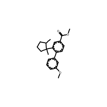 COC(=O)c1ccc(-c2cccc(OC)c2)c(C2(C)CCCC2C)c1